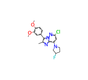 COc1ccc(-c2c(C)nc3c(N4CC[C@@H](F)C4)cc(Cl)nn23)cc1OC